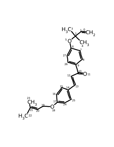 C=CC(C)(C)Oc1ccc(C(=O)/C=C/c2ccc(OCC=C(C)C)cc2)cc1